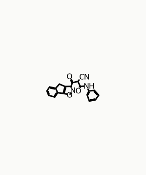 N#CC(C(=O)Nc1ccccc1)C(=O)c1noc2c1Cc1ccccc1-2